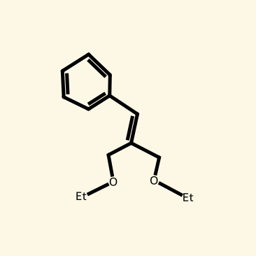 CCOCC(=Cc1ccccc1)COCC